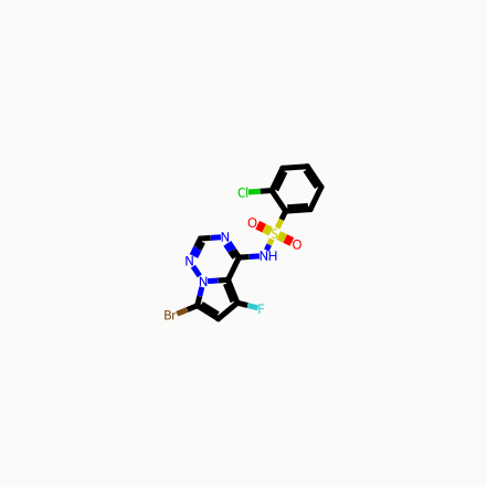 O=S(=O)(Nc1ncnn2c(Br)cc(F)c12)c1ccccc1Cl